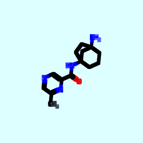 Cc1cncc(C(=O)N[C@@]23CCC[C@@](N)(CC2)C3)n1